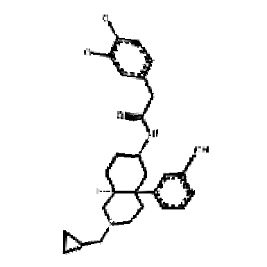 O=C(Cc1ccc(Cl)c(Cl)c1)N[C@@H]1CC[C@@H]2CN(CC3CC3)CC[C@@]2(c2cccc(O)c2)C1